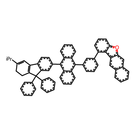 CC(C)C1=CC2=C(CC1)C(c1ccccc1)(c1ccccc1)c1cc(-c3c4ccccc4c(-c4cccc(-c5cccc6oc7cc8ccccc8cc7c56)c4)c4ccccc34)ccc12